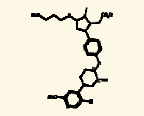 CCOC(=O)CC1C(C)C(OCCCOC)CN1c1ccc(O[C@@H]2CCN(c3cc(OC)ncc3Cl)C[C@@H]2C)cc1